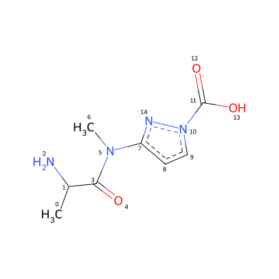 CC(N)C(=O)N(C)c1ccn(C(=O)O)n1